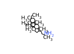 CCC1(C)CCC2(C)C(C)(CCC3(C)C4CCC(CCC(C)N)C4(C)CCC32C)C1